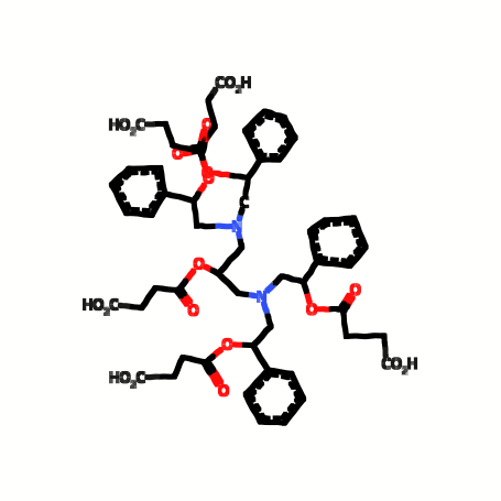 O=C(O)CCC(=O)OC(CN(CC(OC(=O)CCC(=O)O)c1ccccc1)CC(OC(=O)CCC(=O)O)c1ccccc1)CN(CC(OC(=O)CCC(=O)O)c1ccccc1)CC(OC(=O)CCC(=O)O)c1ccccc1